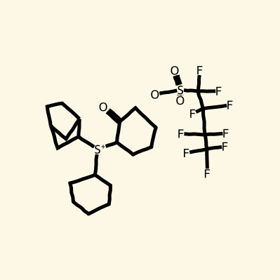 O=C1CCCCC1[S+](C1CCCCC1)C1CC2CCC1C2.O=S(=O)([O-])C(F)(F)C(F)(F)C(F)(F)C(F)(F)F